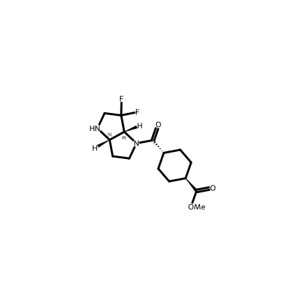 COC(=O)[C@H]1CC[C@H](C(=O)N2CC[C@@H]3NCC(F)(F)[C@@H]32)CC1